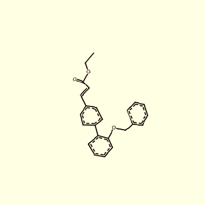 CCOC(=O)C=Cc1ccc(-c2ccccc2OCc2ccccc2)cc1